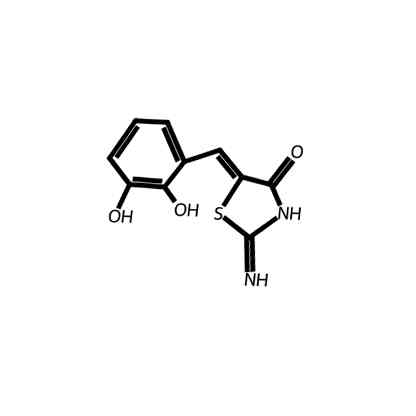 N=C1NC(=O)C(=Cc2cccc(O)c2O)S1